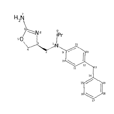 CC(C)N(C[C@H]1COC(N)=N1)c1ccc(Cc2ccccc2)cc1